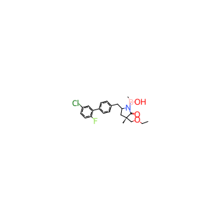 CCOC[C@]1(C)CC(Cc2ccc(-c3cc(Cl)ccc3F)cc2)N(B(C)O)C1=O